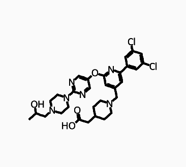 CC(O)CN1CCN(c2ncc(Oc3cc(CN4CCC(CC(=O)O)CC4)cc(-c4cc(Cl)cc(Cl)c4)n3)cn2)CC1